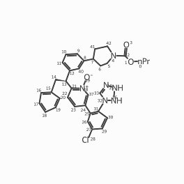 CCCOC(=O)N1CCC(c2cccc([C@H](Cc3ccccc3)c3ccc(-c4cc(Cl)ccc4N4C=NNN4)c[n+]3[O-])c2)CC1